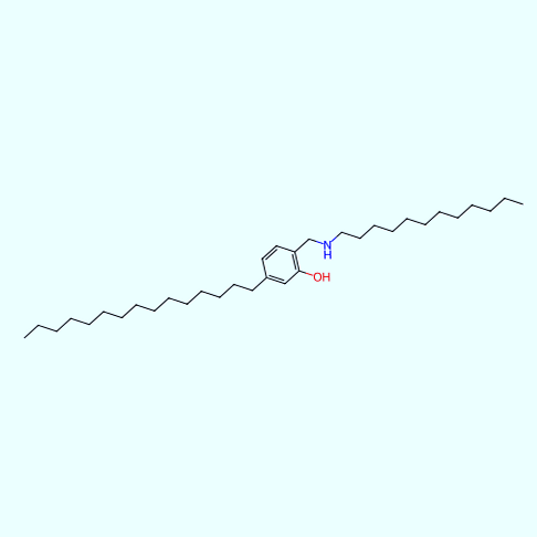 CCCCCCCCCCCCCCCc1ccc(CNCCCCCCCCCCCC)c(O)c1